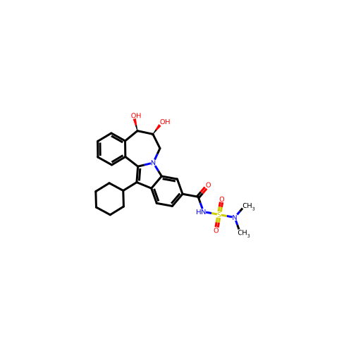 CN(C)S(=O)(=O)NC(=O)c1ccc2c(C3CCCCC3)c3n(c2c1)C[C@H](O)[C@H](O)c1ccccc1-3